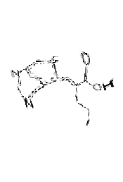 CCCC(C(=O)O)=c1scc2c1=NC=N2